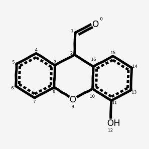 O=CC1c2ccccc2Oc2c(O)cccc21